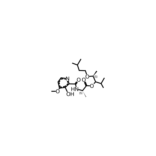 COc1ccnc(C(=O)N[C@@H](C)C(=O)OC(C(C)C)[C@H](C)OCCC(C)C)c1O